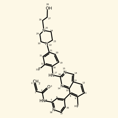 C=CC(=O)Nc1cc(-c2c(F)ccc3cnc(Nc4ccc(N5CCN(CCO)CC5)cc4F)nc23)ccn1